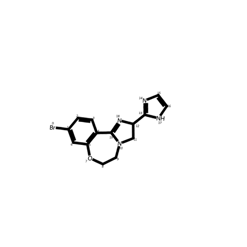 Brc1ccc2c(c1)OCCN1CC(c3ncc[nH]3)N=C21